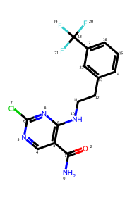 NC(=O)c1cnc(Cl)nc1NCCc1cccc(C(F)(F)F)c1